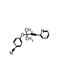 CC(C)(C#Cc1ccccn1)Oc1ccc(C#N)cc1